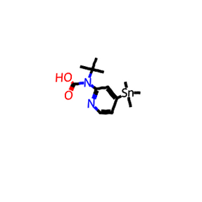 CC(C)(C)N(C(=O)O)c1c[c]([Sn]([CH3])([CH3])[CH3])ccn1